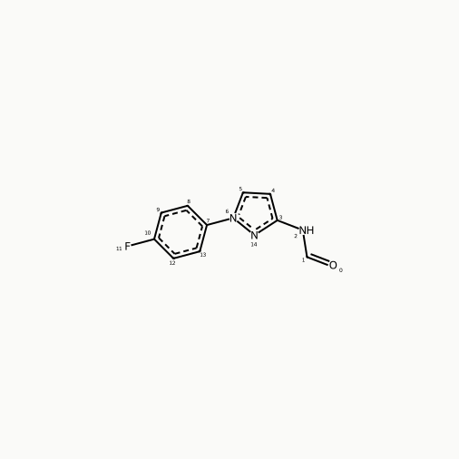 O=CNc1ccn(-c2ccc(F)cc2)n1